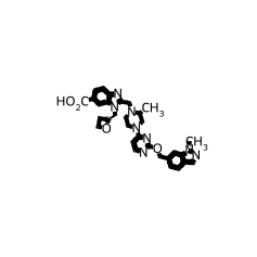 CC1CN(c2ccnc(OCc3ccc4cnn(C)c4c3)n2)CCN1Cc1nc2ccc(C(=O)O)cc2n1C[C@@H]1CCO1